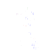 Cc1ccc(-n2nccn2)c(C(=O)N2CCON(c3cc(C)nc(C(F)(F)P)n3)CC2)c1